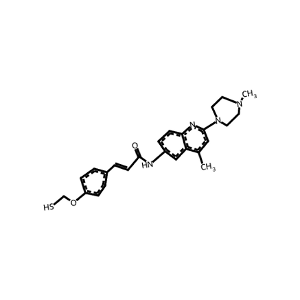 Cc1cc(N2CCN(C)CC2)nc2ccc(NC(=O)C=Cc3ccc(OCS)cc3)cc12